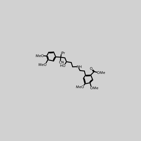 COC(=O)c1cc(OC)c(OC)cc1CCNCCC(O)CC(C#N)(c1ccc(OC)c(OC)c1)C(C)C